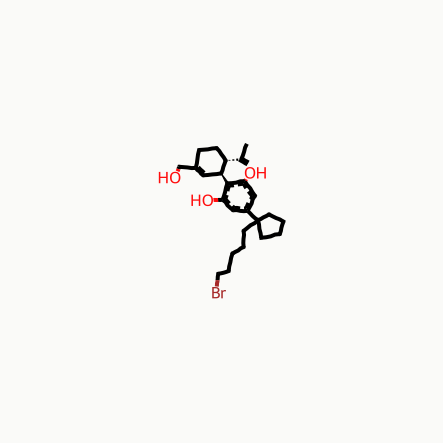 C=C(C)[C@H]1CCC(CO)=C[C@@H]1c1c(O)cc(C2(CCCCCBr)CCCC2)cc1O